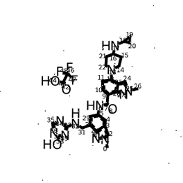 Cn1cc2cc(NC(=O)c3ccc(N4CCC(NC5CC5)CC4)c4cn(C)nc34)cc(CNc3ncnc(O)n3)c2n1.O=C(O)C(F)(F)F